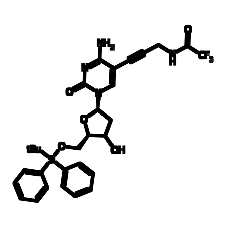 CC(C)(C)[Si](OC[C@H]1O[C@@H](n2cc(C#CCNC(=O)C(F)(F)F)c(N)nc2=O)CC1O)(c1ccccc1)c1ccccc1